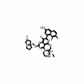 CC[C@@H]1NCCN2c3nc(OC[C@@]45CCCN4C[C@H](F)C5)nc4c(F)c(-c5cc(O)cc6ccc(F)c(F)c56)nc(c34)OC[C@H]12